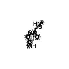 O=C(CCCc1cn(-c2ccccc2)c(NC(=O)c2cccc(-c3ccc4[nH]ncc4c3)c2)n1)NC1CC1